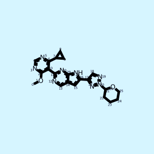 COc1ncnc(C2CC2)c1-c1ncc2cc(-c3cnn(C4CCCCO4)n3)[nH]c2n1